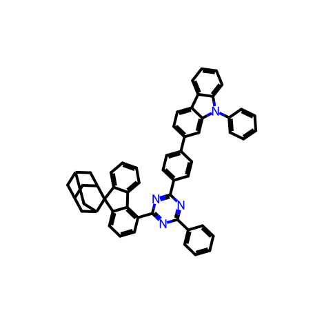 c1ccc(-c2nc(-c3ccc(-c4ccc5c6ccccc6n(-c6ccccc6)c5c4)cc3)nc(-c3cccc4c3-c3ccccc3C43C4CC5CC(C4)CC3C5)n2)cc1